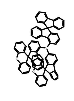 c1ccc2c(c1)Oc1ccccc1C21c2ccccc2-c2ccc(N(c3cccc4c3-c3ccccc3C43c4ccccc4Sc4ccccc43)c3cccc4c3-c3ccccc3C43c4ccccc4-c4ccccc43)cc21